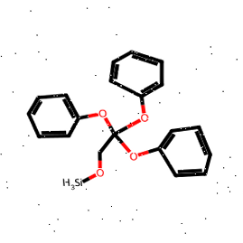 [SiH3]OCC(Oc1ccccc1)(Oc1ccccc1)Oc1ccccc1